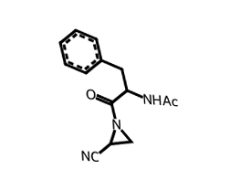 CC(=O)NC(Cc1ccccc1)C(=O)N1CC1C#N